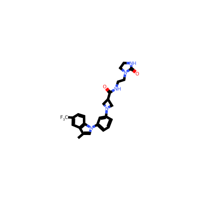 Cc1cn(-c2cccc(N3CC(C(=O)NCCN4CCNC4=O)C3)c2)c2ccc(C(F)(F)F)cc12